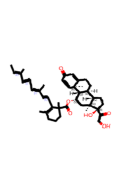 C/C=C(C)/C=C/C=C(C)/C=C/C1=C(C)CCCC1(C)C(=O)O[C@H]1C[C@@]2(C)[C@@H](CC[C@]2(O)C(=O)CO)[C@@H]2CCC3=CC(=O)C=C[C@]3(C)[C@H]21